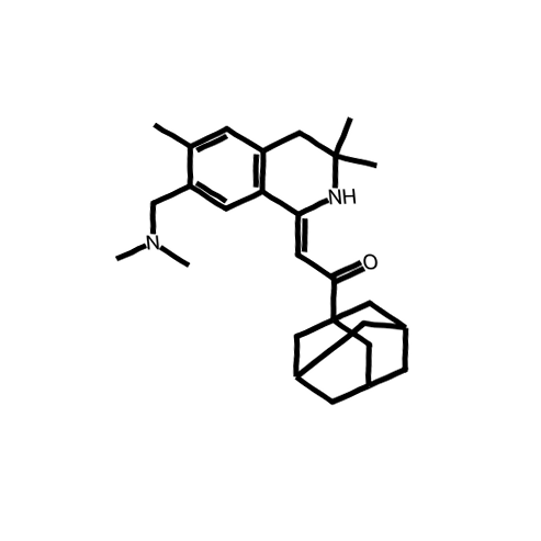 Cc1cc2c(cc1CN(C)C)/C(=C/C(=O)C13CC4CC(CC(C4)C1)C3)NC(C)(C)C2